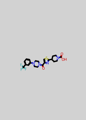 O=C(O)N1CCC(c2nc(C(=O)N3CCN(c4cccc(C(F)(F)F)c4)CC3)cs2)CC1